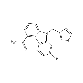 CC(C)c1c[c]c2c3c(C(N)=O)cccc3n(Cc3ccsc3)c2c1